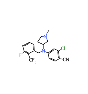 CN1CC[C@H](N(Cc2cccc(F)c2C(F)(F)F)c2ccc(C#N)c(Cl)c2)C1